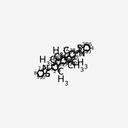 Cc1cc(-c2nc3ccccc3s2)cc2c1-c1cc3c(cc1C2(C)C)-c1c(C)cc(-c2nc4ccccc4s2)cc1C3(C)C